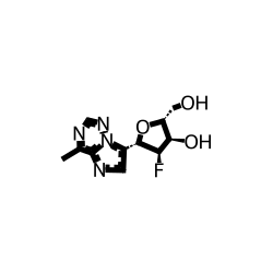 Cc1ncnn2c([C@@H]3O[C@H](CO)[C@@H](O)[C@H]3F)cnc12